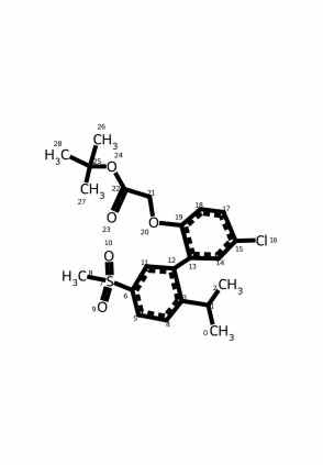 CC(C)c1ccc(S(C)(=O)=O)cc1-c1cc(Cl)ccc1OCC(=O)OC(C)(C)C